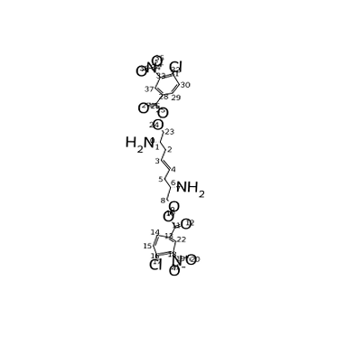 N[C@@H](C/C=C/C[C@H](N)COOC(=O)c1ccc(Cl)c([N+](=O)[O-])c1)COOC(=O)c1ccc(Cl)c([N+](=O)[O-])c1